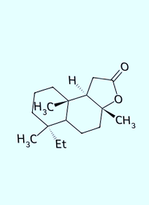 CC[C@]1(C)CCC[C@@]2(C)C1CC[C@@]1(C)OC(=O)C[C@@H]12